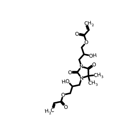 C=CC(=O)OCC(O)CN1C(=O)N(CC(O)COC(=O)C=C)C(C)(C)C1=O